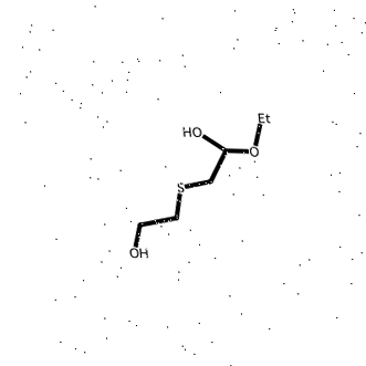 CCOC(O)CSCCO